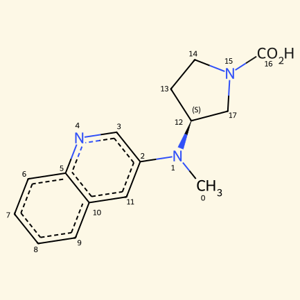 CN(c1cnc2ccccc2c1)[C@H]1CCN(C(=O)O)C1